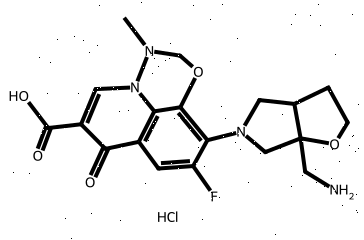 CN1COc2c(N3CC4CCOC4(CN)C3)c(F)cc3c(=O)c(C(=O)O)cn1c23.Cl